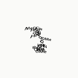 COC(=O)N[C@H](C(=O)N1CCC[C@H]1c1ncc(-c2ccc(-c3ccc(-c4cnc([C@@H]5C6CCC(C6)C5C(=O)N(NC(=O)OC)C(C)C)[nH]4)cc3)c(OC)c2)[nH]1)C(C)C